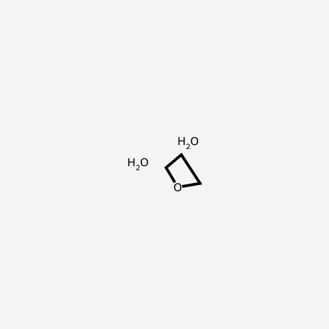 C1COC1.O.O